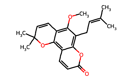 COc1c2c(c3ccc(=O)oc3c1CC=C(C)C)OC(C)(C)C=C2